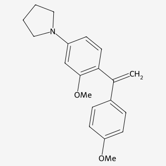 C=C(c1ccc(OC)cc1)c1ccc(N2CCCC2)cc1OC